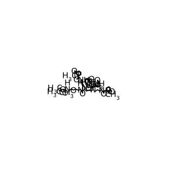 Cn1c(C(=O)NCCCN(CCCC(C(=O)NCCOCCNC(=O)OC(C)(C)C)N(CCCNC(=O)c2cccc(=O)n2C)C(=O)c2cccc(=O)n2C)C(=O)c2cccc(=O)n2C)cccc1=O